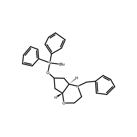 CC(C)(C)[Si](OC1C[C@@H]2[C@@H](C1)OCCN2Cc1ccccc1)(c1ccccc1)c1ccccc1